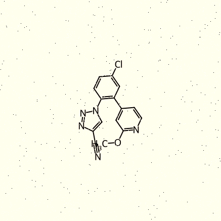 COc1cc(-c2cc(Cl)ccc2-n2cc(C#N)nn2)ccn1